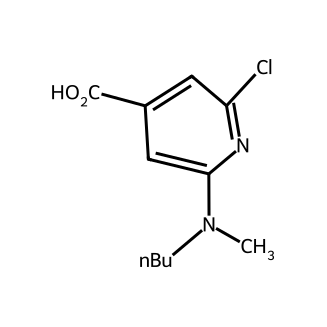 CCCCN(C)c1cc(C(=O)O)cc(Cl)n1